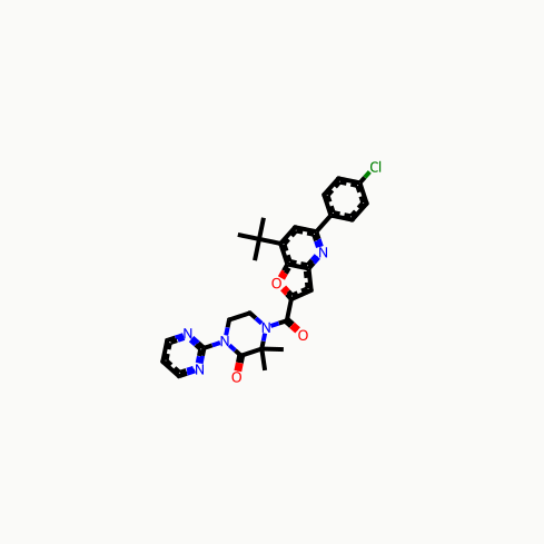 CC(C)(C)c1cc(-c2ccc(Cl)cc2)nc2cc(C(=O)N3CCN(c4ncccn4)C(=O)C3(C)C)oc12